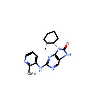 COc1ncccc1Nc1ncc2[nH]c(=O)n([C@H]3CCCC[C@H]3C)c2n1